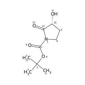 CC(C)(C)OC(=O)N1CC[C@@H](O)C1=O